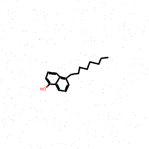 CCCCCCCCc1cccc2c(O)cccc12